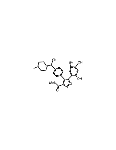 CNC(=O)c1noc(-c2cc(C(C)C)c(O)cc2O)c1-c1ccc(C(C#N)N2CCN(C)CC2)cc1